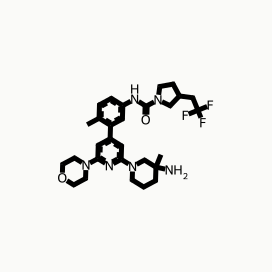 Cc1ccc(NC(=O)N2CCC(CC(F)(F)F)C2)cc1-c1cc(N2CCOCC2)nc(N2CCCC(C)(N)C2)c1